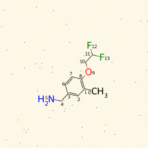 Cc1cc(CN)ccc1OCC(F)F